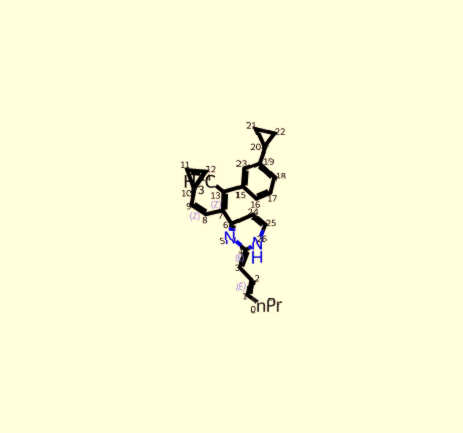 CCC/C=C/C=C1N=C(C(/C=C\C2C=C2)=C(/C)c2cccc(C3CC3)c2)C=CN/1